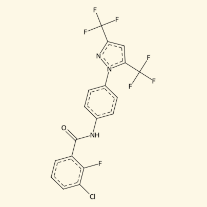 O=C(Nc1ccc(-n2nc(C(F)(F)F)cc2C(F)(F)F)cc1)c1cccc(Cl)c1F